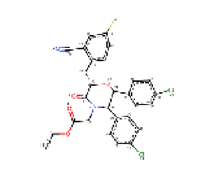 CCOC(=O)CN1C(=O)[C@H](Cc2ccc(F)cc2C#N)OC(c2ccc(Cl)cc2)C1c1ccc(Cl)cc1